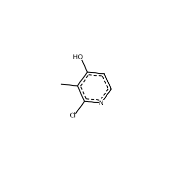 Cc1c(O)ccnc1Cl